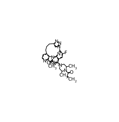 C=CC(=O)N1C(C)CN(c2nc(=O)n3c4nc(c(F)cc24)-n2cc(nn2)CCCc2ccnc(C(C)C)c2-3)CC1C